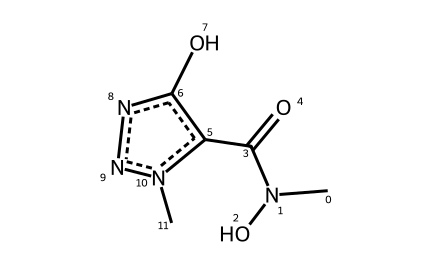 CN(O)C(=O)c1c(O)nnn1C